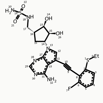 CCSc1cccc(F)c1C#Cc1cn([C@@H]2C[C@H](CNS(N)(=O)=O)[C@@H](O)[C@H]2O)c2ncnc(N)c12